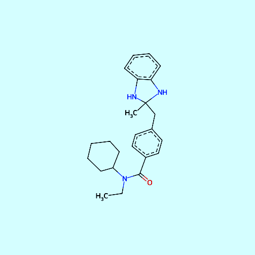 CCN(C(=O)c1ccc(CC2(C)Nc3ccccc3N2)cc1)C1CCCCC1